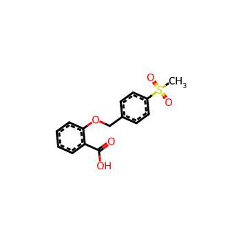 CS(=O)(=O)c1ccc(COc2ccccc2C(=O)O)cc1